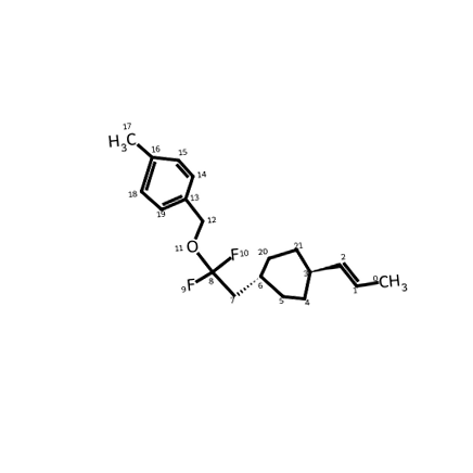 CC=C[C@H]1CC[C@H](CC(F)(F)OCc2ccc(C)cc2)CC1